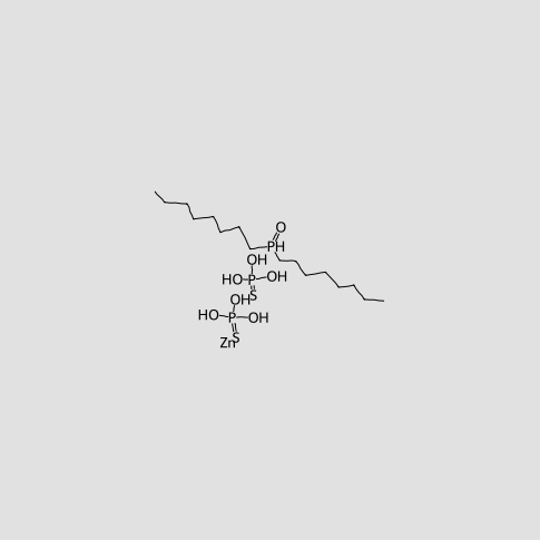 CCCCCCCC[PH](=O)CCCCCCCC.OP(O)(O)=S.OP(O)(O)=S.[Zn]